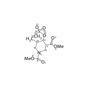 COC(=O)C1CN(C(=O)OC)CC(C)C1OS(C)(=O)=O